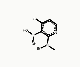 CCc1ccnc(N(C)CC)c1B(O)O